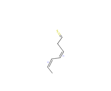 C/C=C\C=C/CC=S